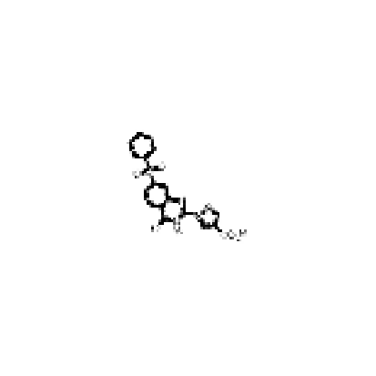 O=C(O)c1cnn(-c2nc3cc(S(=O)(=O)c4ccccc4)ccc3c(=O)[nH]2)c1